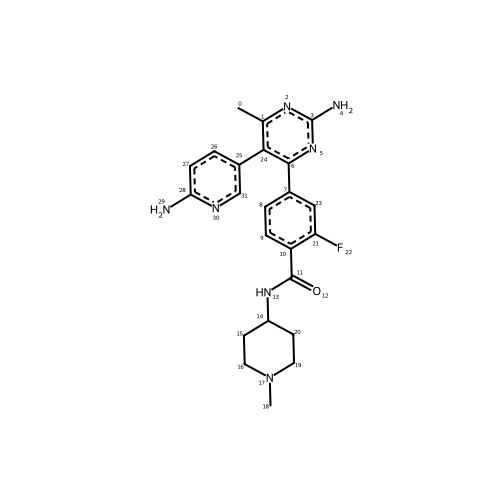 Cc1nc(N)nc(-c2ccc(C(=O)NC3CCN(C)CC3)c(F)c2)c1-c1ccc(N)nc1